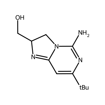 CC(C)(C)C1=CC2=NC(CO)CN2C(N)=N1